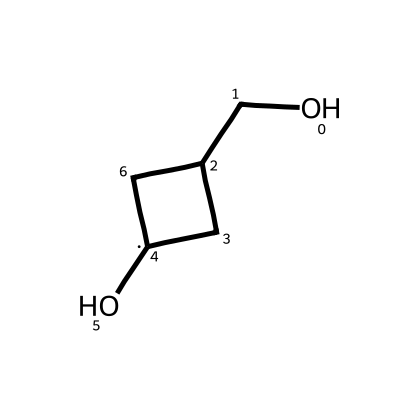 OCC1C[C](O)C1